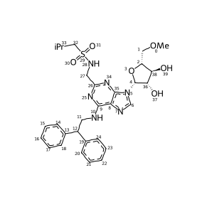 COC[C@H]1O[C@@H](n2cnc3c(NCC(c4ccccc4)c4ccccc4)nc(CNS(=O)(=O)CC(C)C)nc32)[C@@H](O)[C@@H]1O